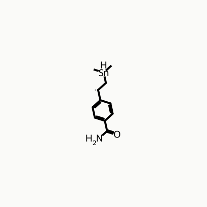 [CH3][SnH]([CH3])[CH2][CH]c1ccc(C(N)=O)cc1